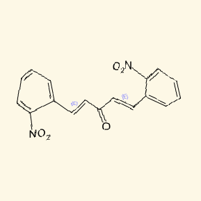 O=C(/C=C/c1ccccc1[N+](=O)[O-])/C=C/c1ccccc1[N+](=O)[O-]